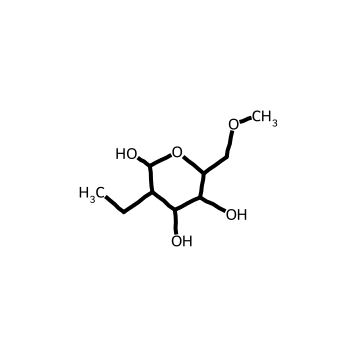 CCC1C(O)OC(COC)C(O)C1O